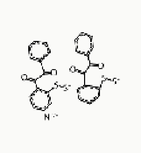 O=C(C(=O)c1ccccc1S[S-])c1ccccc1.O=C(C(=O)c1ccccc1S[S-])c1ccccc1.[Ni+2]